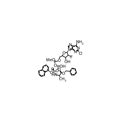 COP(OCC1OC(n2cnc3c(N)nc(Cl)nc32)C(F)C1O)OP(O)OP(=O)(NC(C)C(=O)OCc1ccccc1)Oc1cccc2ccccc12